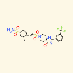 Cc1cc(S(N)(=O)=O)ccc1/C=C/S(=O)(=O)N1CCC2(CC1)N=C(c1cccc(C(F)(F)F)c1)NC2=O